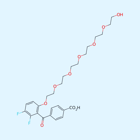 O=C(O)c1ccc(C(=O)c2c(OCCOCCOCCOCCOCCOCCO)ccc(F)c2F)cc1